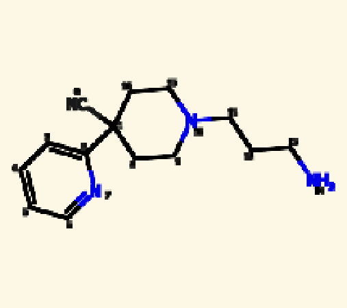 N#CC1(c2ccccn2)CCN(CCCN)CC1